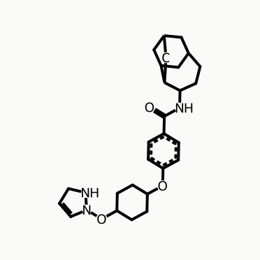 O=C(NC1CCC2CC3CC(C2)C1C3)c1ccc(OC2CCC(ON3C=CCN3)CC2)cc1